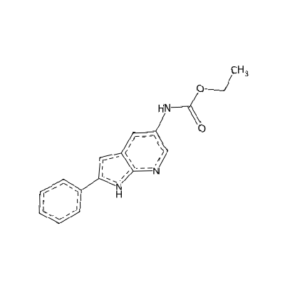 CCOC(=O)Nc1cnc2[nH]c(-c3ccccc3)cc2c1